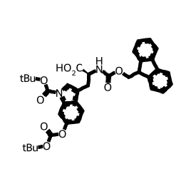 CC(C)(C)OC(=O)Oc1ccc2c(C[C@H](NC(=O)OCC3c4ccccc4-c4ccccc43)C(=O)O)cn(C(=O)OC(C)(C)C)c2c1